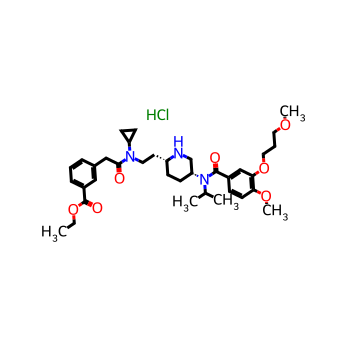 CCOC(=O)c1cccc(CC(=O)N(CC[C@H]2CC[C@@H](N(C(=O)c3ccc(OC)c(OCCCOC)c3)C(C)C)CN2)C2CC2)c1.Cl